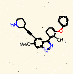 COc1cc2ncnc(C3=C(C)C(Oc4ccccc4)=CC[CH]3)c2cc1C#CC1CCCNC1